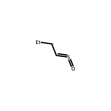 CC[C]C=S=O